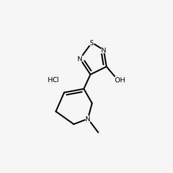 CN1CCC=C(c2nsnc2O)C1.Cl